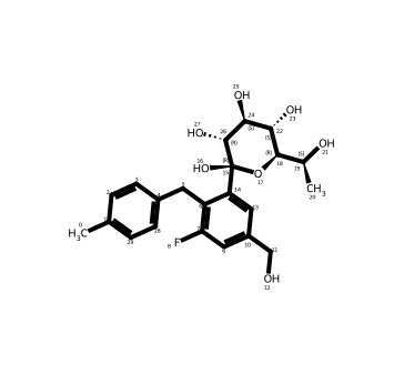 Cc1ccc(Cc2c(F)cc(CO)cc2[C@@]2(O)O[C@H]([C@H](C)O)[C@@H](O)[C@H](O)[C@H]2O)cc1